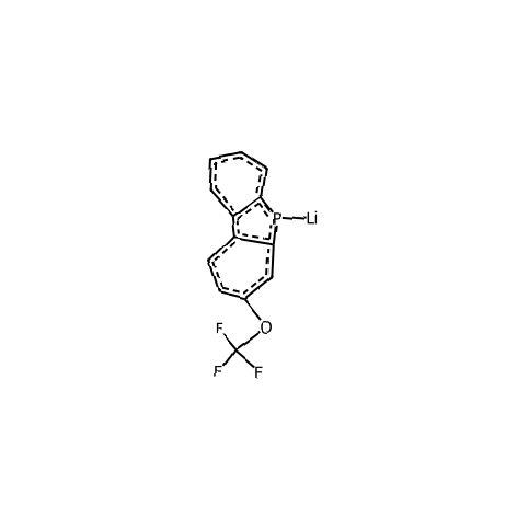 [Li][p]1c2ccccc2c2ccc(OC(F)(F)F)cc21